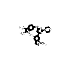 Cc1c(C)n(C)c2cc(Nc3cc(-c4ccc5cnn(C)c5c4)nc(N4CCOCC4)n3)ccc12